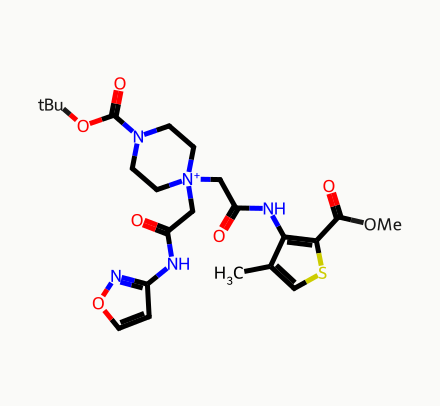 COC(=O)c1scc(C)c1NC(=O)C[N+]1(CC(=O)Nc2ccon2)CCN(C(=O)OC(C)(C)C)CC1